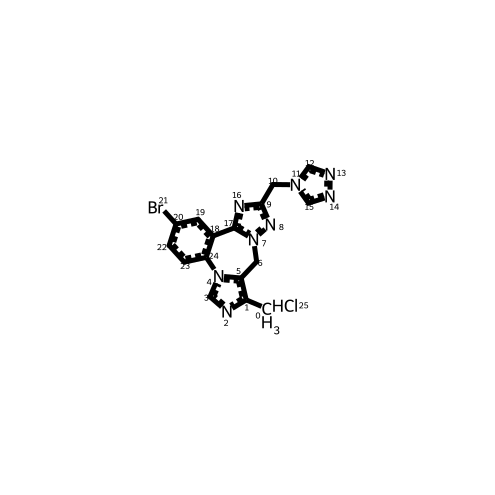 Cc1ncn2c1Cn1nc(Cn3cnnc3)nc1-c1cc(Br)ccc1-2.Cl